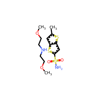 COCCNCCOC.Cc1cc2sc(S(N)(=O)=O)cc2s1